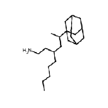 CCCCCC(CCN)CC(C)C12CC3CC(CC(C3)C1)C2